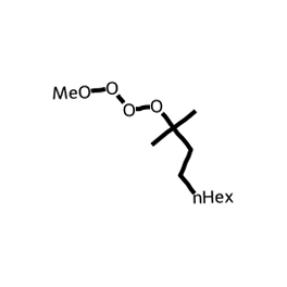 CCCCCCCCC(C)(C)OOOOC